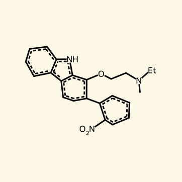 CCN(C)CCOc1c(-c2ccccc2[N+](=O)[O-])ccc2c1[nH]c1ccccc12